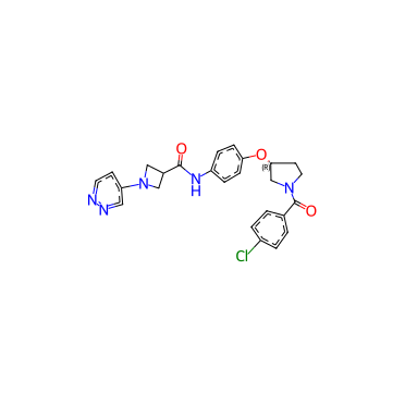 O=C(Nc1ccc(O[C@@H]2CCN(C(=O)c3ccc(Cl)cc3)C2)cc1)C1CN(c2ccnnc2)C1